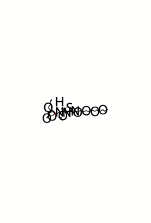 C=CCOc1cc([C@@H](CCC)NC(=O)C2(C)CSC(/C(C)=N/OCCOCCOCCOCC)=N2)oc(=O)c1